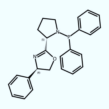 c1ccc([C@@H]2COC([C@@H]3CCCN3P(c3ccccc3)c3ccccc3)=N2)cc1